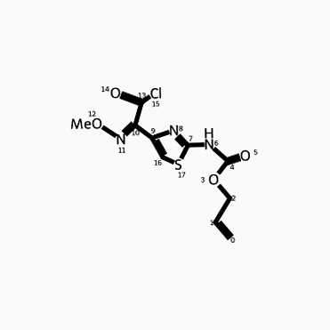 C=CCOC(=O)Nc1nc(C(=NOC)C(=O)Cl)cs1